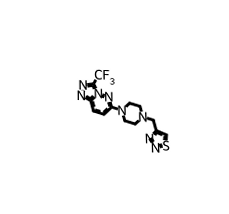 FC(F)(F)c1nnc2ccc(N3CCN(Cc4csnn4)CC3)nn12